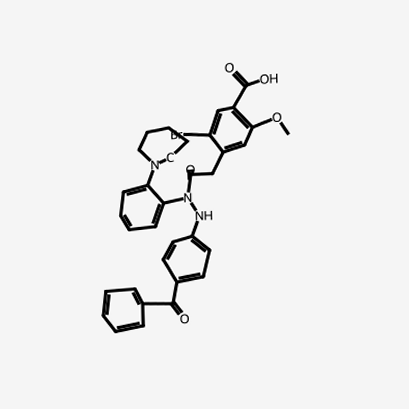 COc1cc(CC(=O)N(Nc2ccc(C(=O)c3ccccc3)cc2)c2ccccc2N2CCCCC2)c(Br)cc1C(=O)O